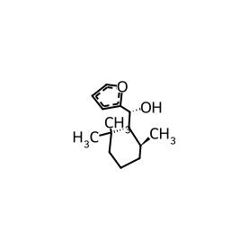 C[C@H]1CCCC(C)(C)[C@@H]1[C@@H](O)c1ccco1